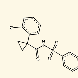 O=C(NS(=O)(=O)c1ccccc1)C1(c2ccccc2Cl)CC1